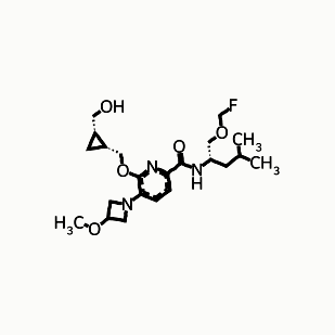 COC1CN(c2ccc(C(=O)N[C@H](COCF)CC(C)C)nc2OC[C@@H]2C[C@@H]2CO)C1